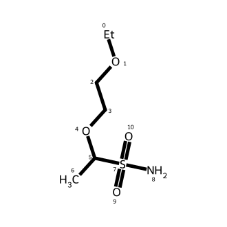 CCOCCOC(C)S(N)(=O)=O